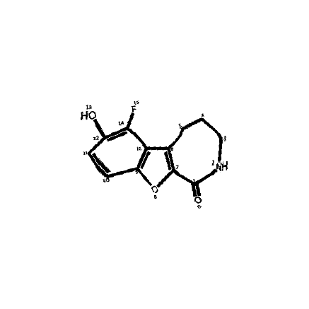 O=C1NCCCc2c1oc1ccc(O)c(F)c21